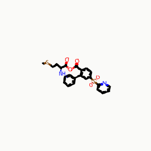 CSCC[C@H](N)C(=O)OC(=O)c1ccc(S(=O)(=O)c2ccccn2)cc1-c1ccccc1